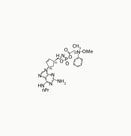 CCCNc1nc(N)nc2c1ncn2[C@H]1C=C[C@@H](COP(N)(=O)OC(=O)[C@H](C)N(OC)c2ccccc2)C1